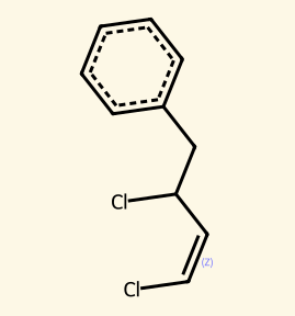 Cl/C=C\C(Cl)Cc1ccccc1